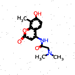 Cc1c(O)ccc2c(NC(=O)CN(C)C)cc(=O)oc12